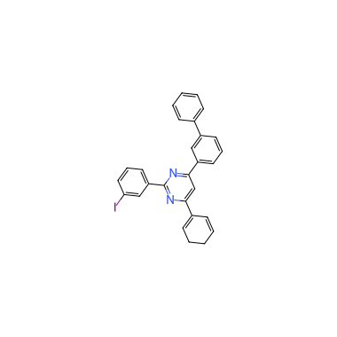 Ic1cccc(-c2nc(C3=CCCC=C3)cc(-c3cccc(-c4ccccc4)c3)n2)c1